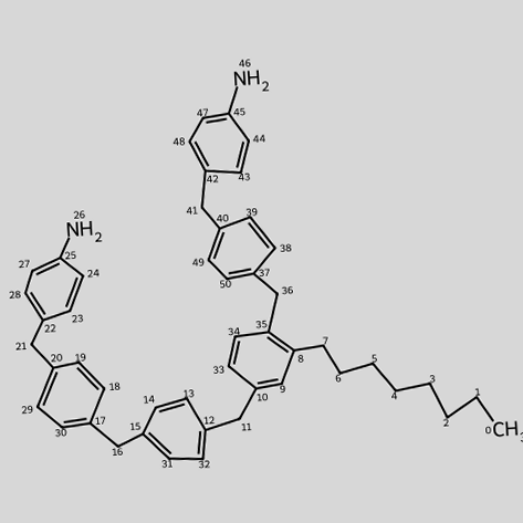 CCCCCCCCc1cc(Cc2ccc(Cc3ccc(Cc4ccc(N)cc4)cc3)cc2)ccc1Cc1ccc(Cc2ccc(N)cc2)cc1